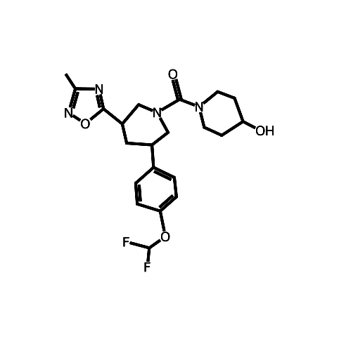 Cc1noc(C2CC(c3ccc(OC(F)F)cc3)CN(C(=O)N3CCC(O)CC3)C2)n1